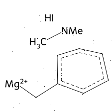 CNC.I.[Mg+2][CH2]c1ccccc1